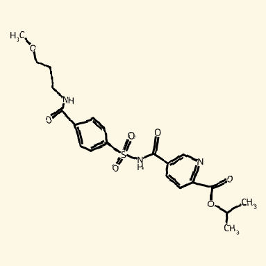 COCCCNC(=O)c1ccc(S(=O)(=O)NC(=O)c2ccc(C(=O)OC(C)C)nc2)cc1